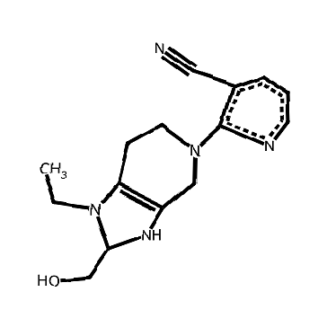 CCN1C2=C(CN(c3ncccc3C#N)CC2)NC1CO